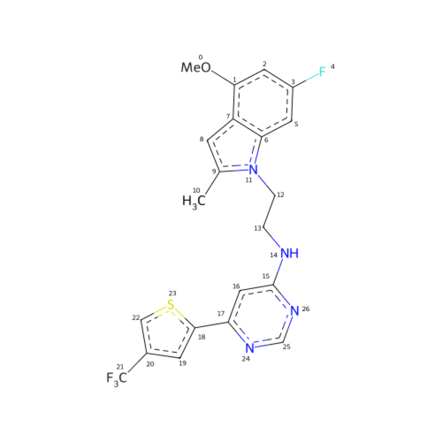 COc1cc(F)cc2c1cc(C)n2CCNc1cc(-c2cc(C(F)(F)F)cs2)ncn1